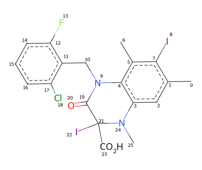 Cc1cc2c(c(C)c1I)N(Cc1c(F)cccc1Cl)C(=O)C(I)(C(=O)O)N2C